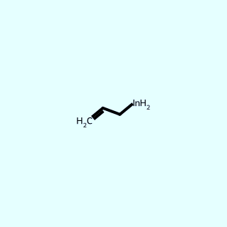 C=C[CH2][InH2]